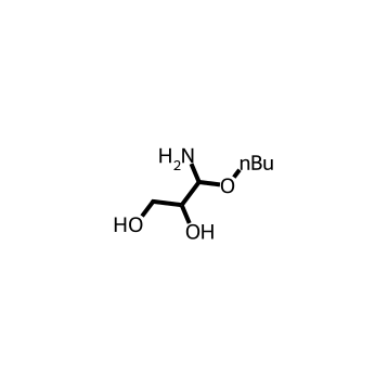 CCCCOC(N)C(O)CO